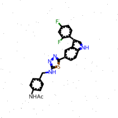 CC(=O)Nc1ccc(CNc2nnc(-c3ccc4[nH]cc(-c5ccc(F)cc5F)c4c3)s2)cc1